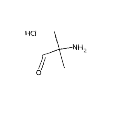 CC(C)(N)C=O.Cl